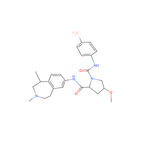 Bc1ccc(NC(=O)N2CC(OC)CC2C(=O)Nc2ccc3c(c2)CCN(C)CC3C)cc1